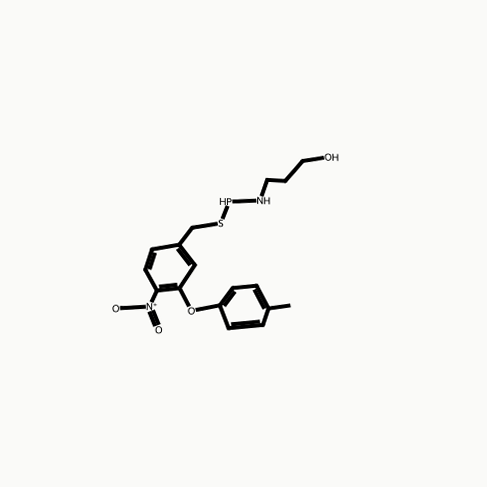 Cc1ccc(Oc2cc(CSPNCCCO)ccc2[N+](=O)[O-])cc1